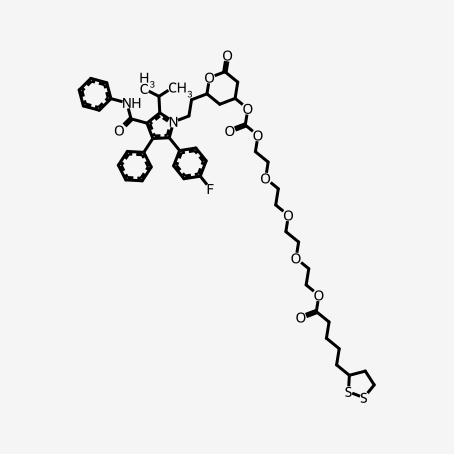 CC(C)c1c(C(=O)Nc2ccccc2)c(-c2ccccc2)c(-c2ccc(F)cc2)n1CCC1CC(OC(=O)OCCOCCOCCOCCOC(=O)CCCCC2CCSS2)CC(=O)O1